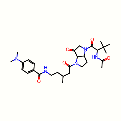 CC(=O)NC(C(=O)N1CC(=O)C2C1CCN2C(=O)CC(C)CCNC(=O)c1ccc(N(C)C)cc1)C(C)(C)C